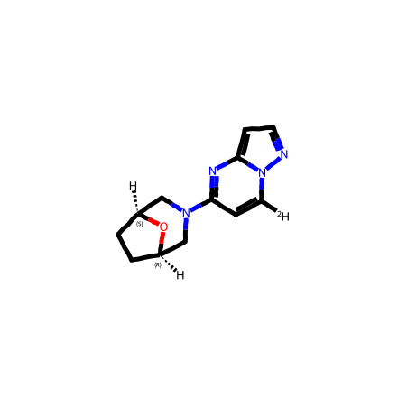 [2H]c1cc(N2C[C@H]3CC[C@@H](C2)O3)nc2ccnn12